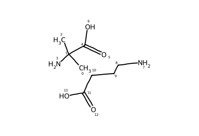 CC(C)(N)C(=O)O.NCCCC(=O)O